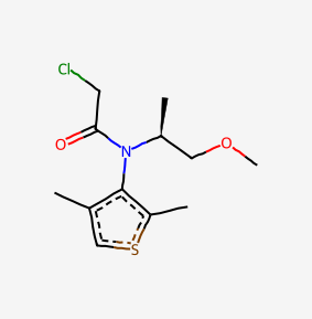 COC[C@H](C)N(C(=O)CCl)c1c(C)csc1C